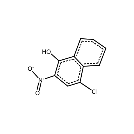 O=[N+]([O-])c1cc(Cl)c2ccccc2c1O